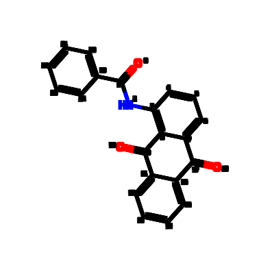 O=C(Nc1cccc2c1C(=O)c1ccccc1C2=O)c1ccccc1